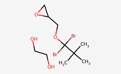 CC(C)(C)C(Br)(Br)OCC1CO1.OCCO